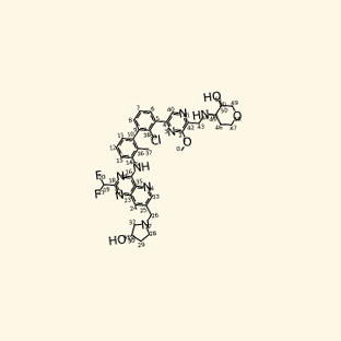 COc1nc(-c2cccc(-c3cccc(Nc4nc(C(F)F)nc5cc(CN6CC[C@H](O)C6)cnc45)c3C)c2Cl)cnc1CN[C@@H]1CCOC[C@@H]1O